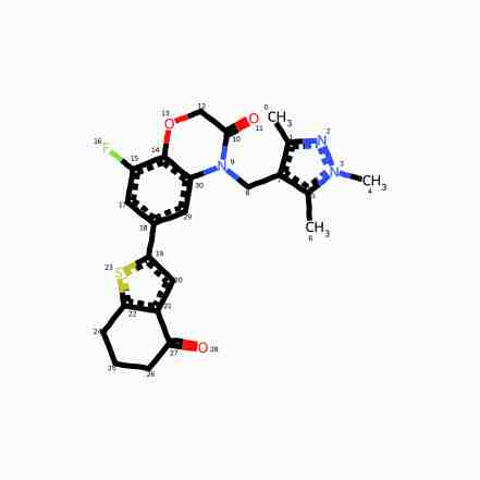 Cc1nn(C)c(C)c1CN1C(=O)COc2c(F)cc(-c3cc4c(s3)CCCC4=O)cc21